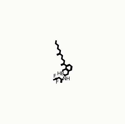 C=C(CCCCC)CCCC(=C)c1cccc2c1CBC(NC(=C)CC(C)(F)F)C2